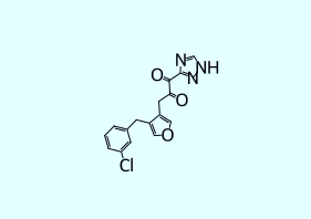 O=C(Cc1cocc1Cc1cccc(Cl)c1)C(=O)c1nc[nH]n1